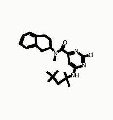 CN(C(=O)c1cc(NC(C)(C)CC(C)(C)C)nc(Cl)n1)C1CCc2ccccc2C1